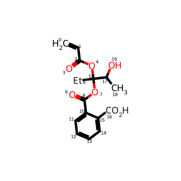 C=CC(=O)OC(CC)(OC(=O)c1ccccc1C(=O)O)C(C)O